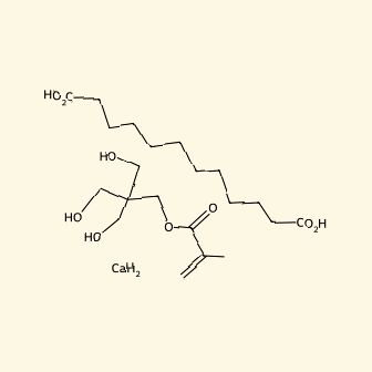 C=C(C)C(=O)OCC(CO)(CO)CO.O=C(O)CCCCCCCCCCC(=O)O.[CaH2]